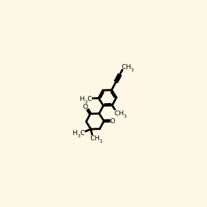 CC#Cc1cc(C)c(C2C(=O)CC(C)(C)CC2=O)c(C)c1